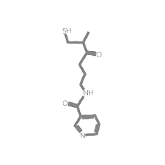 CC(CS)C(=O)CCCNC(=O)c1cccnc1